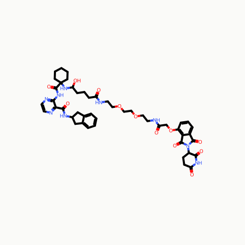 O=C(CCCC(O)NC1(C(=O)Nc2nccnc2C(=O)NC2Cc3ccccc3C2)CCCCC1)NCCOCCOCCNC(=O)COc1cccc2c1C(=O)N(C1CCC(=O)NC1=O)C2=O